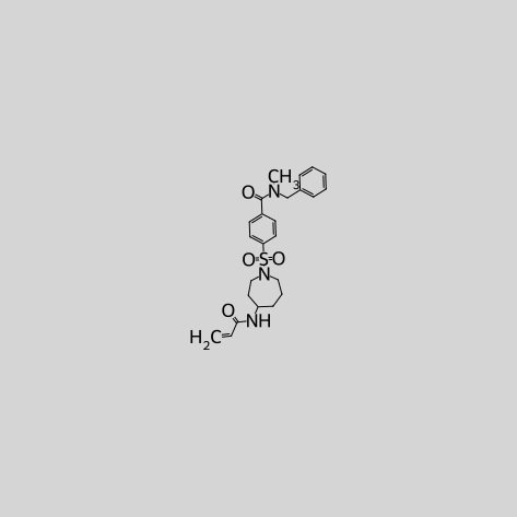 C=CC(=O)NC1CCCN(S(=O)(=O)c2ccc(C(=O)N(C)Cc3ccccc3)cc2)CC1